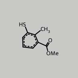 COC(=O)c1cccc(S)c1C